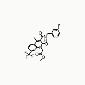 COC(=O)Cn1c(=O)c(C(=O)NCc2cccc(F)c2)c(C)c2ccc(C(F)(F)F)cc21